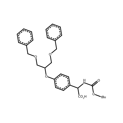 CC(C)(C)OC(=O)NC(C(=O)O)c1ccc(OC(COCc2ccccc2)COCc2ccccc2)cc1